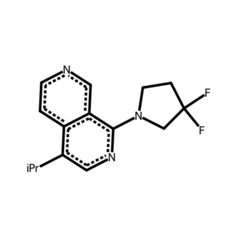 CC(C)c1cnc(N2CCC(F)(F)C2)c2cnccc12